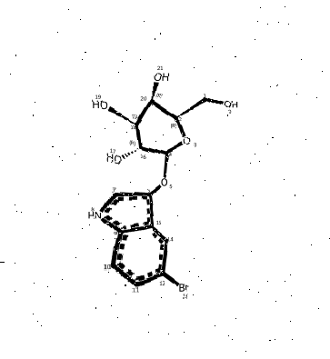 OC[C@H]1OC(Oc2c[nH]c3ccc(Br)cc23)[C@H](O)[C@@H](O)[C@H]1O